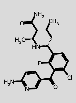 CCC[C@@H](N[C@@H](C)CC(N)=O)c1ccc(Cl)c(C(=O)c2ccc(N)nc2)c1F